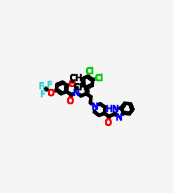 COc1ccc(OC(F)(F)F)cc1C(=O)N(C)CC(CCN1CCC(C(=O)c2nc3ccccc3[nH]2)CC1)c1ccc(Cl)c(Cl)c1